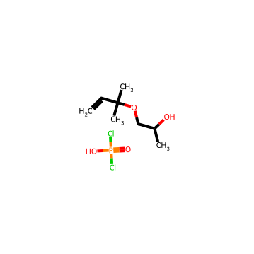 C=CC(C)(C)OCC(C)O.O=P(O)(Cl)Cl